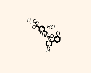 COC(=O)c1ccc(CNC(=O)N2CCNCC2c2cccc(Cl)c2)nc1.Cl